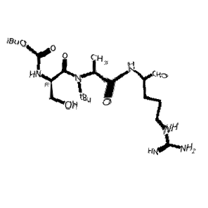 CC(C)COC(=O)N[C@H](CO)C(=O)N(C(C)C(=O)NC(C=O)CCCNC(=N)N)C(C)(C)C